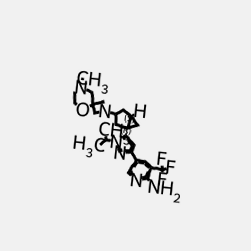 CC(C)n1nc(-c2cnc(N)c(C(F)(F)F)c2)cc1[C@]12CC(N3CC4(CN(C)CCO4)C3)C[C@@H]1C2